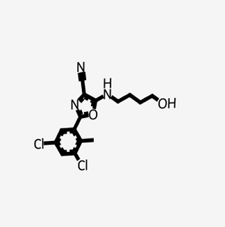 Cc1c(Cl)cc(Cl)cc1-c1nc(C#N)c(NCCCCO)o1